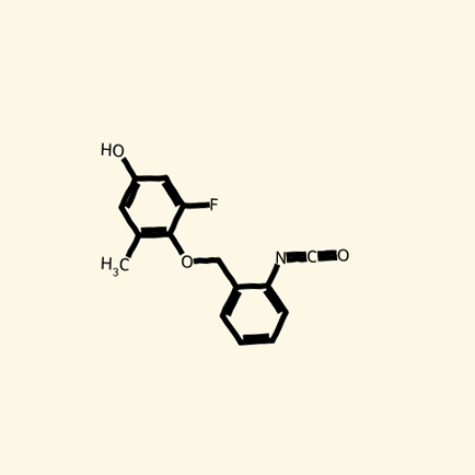 Cc1cc(O)cc(F)c1OCc1ccccc1N=C=O